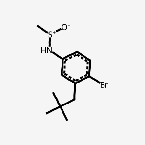 C[S+]([O-])Nc1ccc(Br)c(CC(C)(C)C)c1